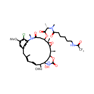 COc1cc2cc(c1Cl)N(C)C(=O)CC(OC(=O)[C@H](C)N(C)C(=O)CCCCCNC(=O)C(F)(F)F)[C@]1(C)OC1[C@@H](C)C1C[C@@](O)(NC(=O)O1)C(OC)/C=C/C=C(\C)C2